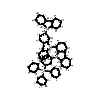 c1ccc([Si](c2ccccc2)(c2ccccc2)c2cccc(-n3c4ccccc4c4cccc(-n5c6ccccc6c6ccc(-n7c8ccccc8c8ccccc87)cc65)c43)c2)cc1